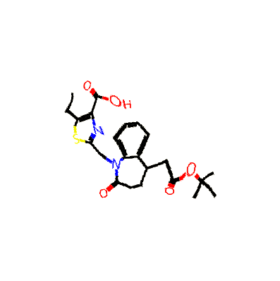 CCc1sc(CN2C(=O)CCC(CC(=O)OC(C)(C)C)c3ccccc32)nc1C(=O)O